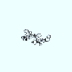 NC(=O)C(Cc1ccc2ccccc2c1)NC(=O)C1CCCCN1C(=O)C(CSCP(=O)(O)O)NC(=O)Oc1ccccc1